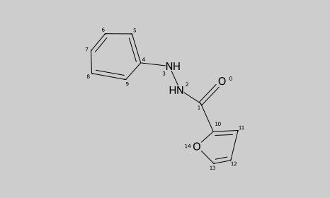 O=C(NNc1ccccc1)c1ccco1